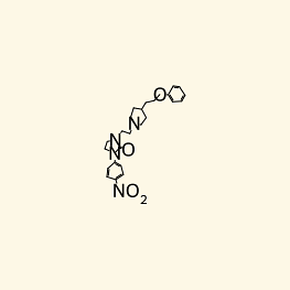 O=C1N(CCN2CCC(CCOc3ccccc3)CC2)CCN1c1ccc([N+](=O)[O-])cc1